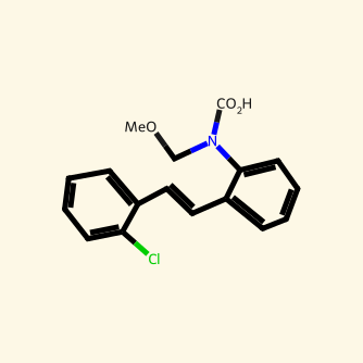 COCN(C(=O)O)c1ccccc1/C=C/c1ccccc1Cl